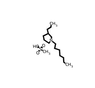 CCCCCCCN1CCCC(CCC)C1.CS(=O)(=O)O